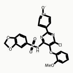 COc1ccccc1Oc1c(Cl)nc(-c2cc[n+]([O-])cc2)nc1NS(=O)(=O)c1ccc2c(c1)OCO2